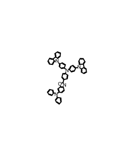 c1ccc(N(c2ccccc2)c2ccc3nc(-c4ccc(N(c5ccc(-n6c7ccccc7c7ccccc76)cc5)c5ccc(-n6c7ccccc7c7ccccc76)cc5)cc4)oc3c2)cc1